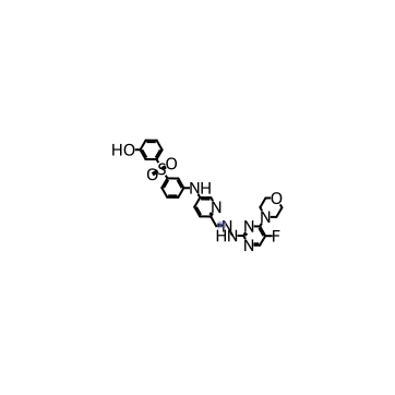 O=S(=O)(c1cccc(O)c1)c1cccc(Nc2ccc(/C=N/Nc3ncc(F)c(N4CCOCC4)n3)nc2)c1